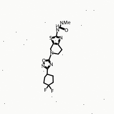 CNC(=O)Nc1nc2c(s1)CN(c1nc(C3CCC(F)(F)CC3)no1)CC2